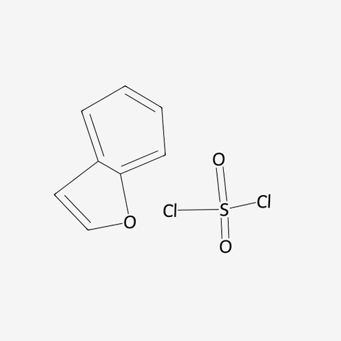 O=S(=O)(Cl)Cl.c1ccc2occc2c1